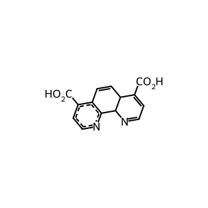 O=C(O)C1=CC=NC2c3nccc(C(=O)O)c3C=CC12